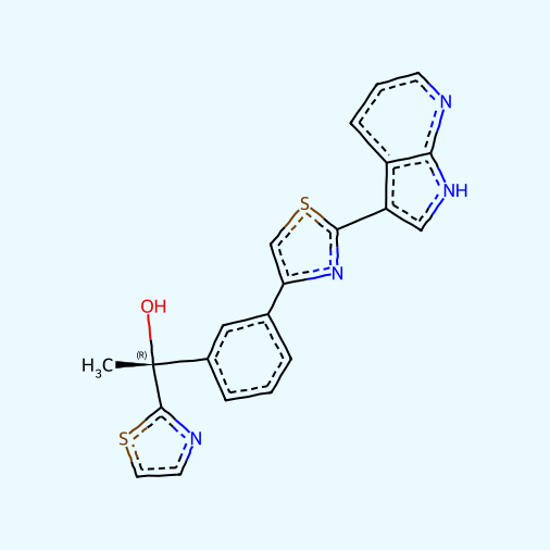 C[C@@](O)(c1cccc(-c2csc(-c3c[nH]c4ncccc34)n2)c1)c1nccs1